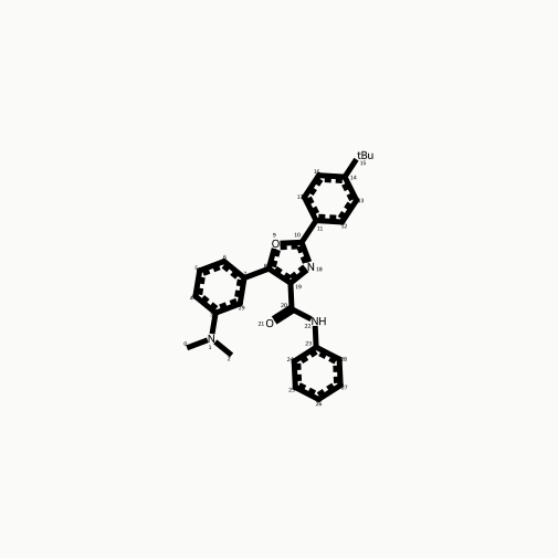 CN(C)c1cccc(-c2oc(-c3ccc(C(C)(C)C)cc3)nc2C(=O)Nc2ccccc2)c1